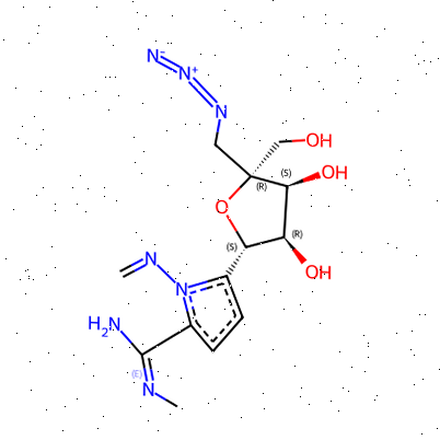 C=Nn1c(/C(N)=N\C)ccc1[C@@H]1O[C@@](CO)(CN=[N+]=[N-])[C@@H](O)[C@H]1O